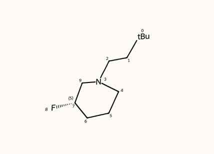 CC(C)(C)CCN1CCC[C@H](F)C1